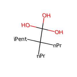 CCCC(C)C(CCC)(CCC)C(O)(O)O